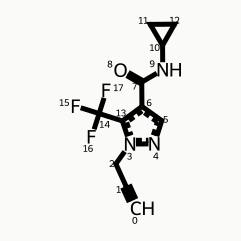 C#CCn1ncc(C(=O)NC2CC2)c1C(F)(F)F